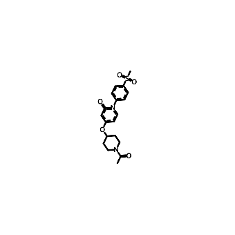 CC(=O)N1CCC(Oc2ccn(-c3ccc(S(C)(=O)=O)cc3)c(=O)c2)CC1